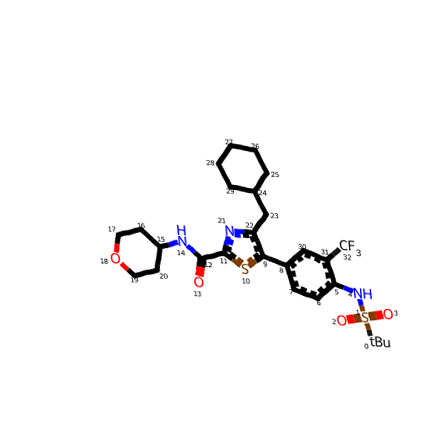 CC(C)(C)S(=O)(=O)Nc1ccc(-c2sc(C(=O)NC3CCOCC3)nc2CC2CCCCC2)cc1C(F)(F)F